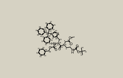 COC(=O)CN(CCNC(=O)OC(C)(C)C)C(=O)[C@H](Cc1cn(C(c2ccccc2)(c2ccccc2)c2ccccc2)cn1)NC(=O)OCc1ccccc1